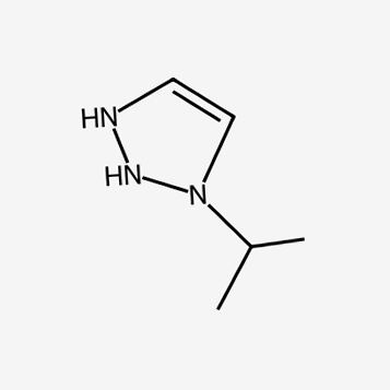 CC(C)N1C=CNN1